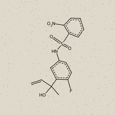 C=CC(C)(O)c1cc(NS(=O)(=O)c2ccccc2[N+](=O)[O-])ccc1F